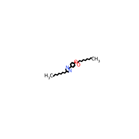 CCCCCCCCC(=O)Oc1ccc(-c2ncc(CCCCCCCC)cn2)cc1